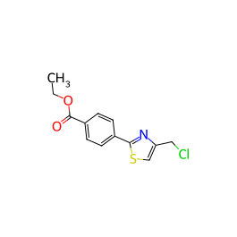 CCOC(=O)c1ccc(-c2nc(CCl)cs2)cc1